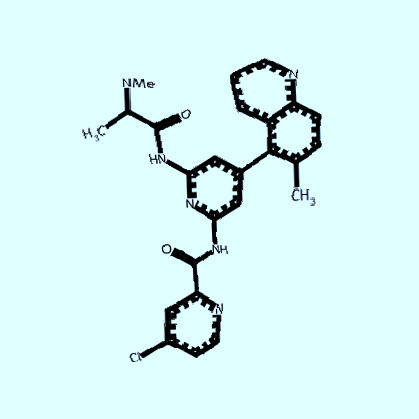 CNC(C)C(=O)Nc1cc(-c2c(C)ccc3ncccc23)cc(NC(=O)c2cc(Cl)ccn2)n1